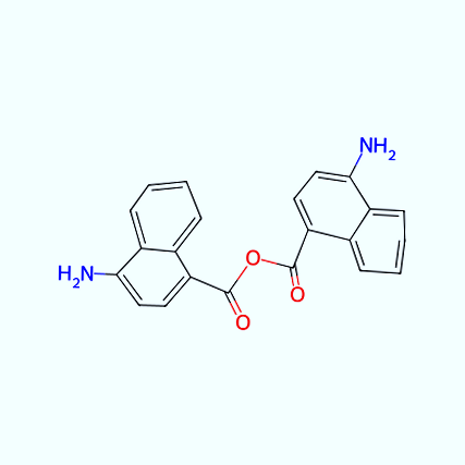 Nc1ccc(C(=O)OC(=O)c2ccc(N)c3ccccc23)c2ccccc12